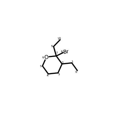 CCC1CCCOC1(Br)CC